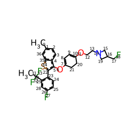 Cc1ccc2c(OC3=CC=C(OCCN4CC(CF)C4)CC3)c(-c3ccc(F)cc3C(C)(F)F)sc2c1